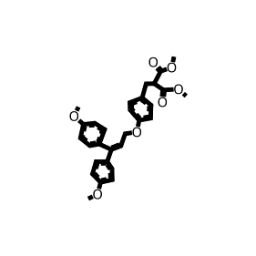 COC(=O)C(Cc1ccc(OCC=C(c2ccc(OC)cc2)c2ccc(OC)cc2)cc1)C(=O)OC